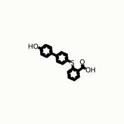 O=C(O)c1ccccc1Sc1ccc(-c2ccc(O)cc2)cc1